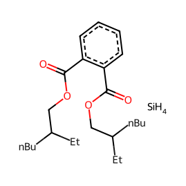 CCCCC(CC)COC(=O)c1ccccc1C(=O)OCC(CC)CCCC.[SiH4]